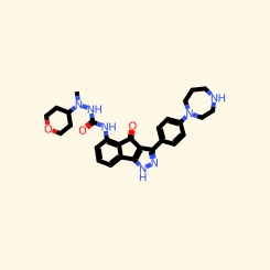 CN(NC(=O)Nc1cccc2c1C(=O)c1c(-c3ccc(N4CCCNCC4)cc3)n[nH]c1-2)C1CCOCC1